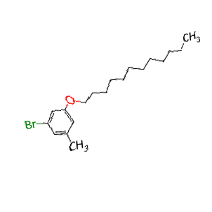 CCCCCCCCCCCCOc1cc(C)cc(Br)c1